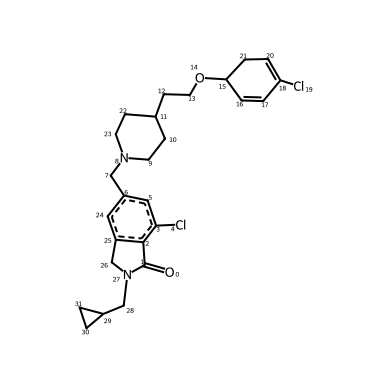 O=C1c2c(Cl)cc(CN3CCC(CCOC4C=CC(Cl)=CC4)CC3)cc2CN1CC1CC1